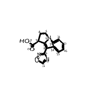 O=C(O)C1CCn2c1c(-c1ncon1)c1ccccc12